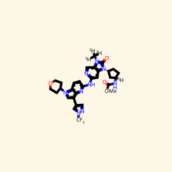 [2H]C1(NC(=O)OC)CC[C@@H](n2c(=O)n(C([2H])([2H])[2H])c3cnc(Nc4ccc5c(n4)c(-c4cnn(C(F)(F)F)c4)cn5C4CCOCC4)cc32)C1